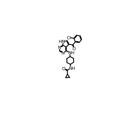 O=C(c1ccccc1Cl)c1c[nH]c2ncnc(NC3CCC(NC(=O)C4CC4)CC3)c12